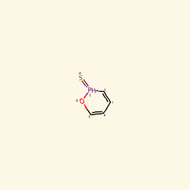 S=[PH]1C=CC=CO1